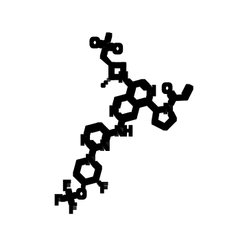 C=CC(=O)N1CCCC1c1ncc(N2C[C@H](CS(C)(=O)=O)[C@H]2C)c2cnc(Nc3ccnc(N4CC[C@@H](OC(F)(F)F)[C@@H](F)C4)n3)cc12